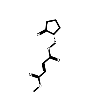 COC(=O)/C=C/C(=O)OC[C@H]1CCCC1=O